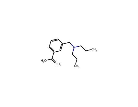 C=C(C)c1cccc(CN(CCC)CCC)c1